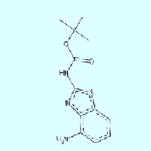 CC(C)(C)OC(=O)Nc1nc2c(N)cccc2s1